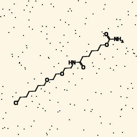 NC(=O)OCCCCCC(=O)NCCOCCOCCCCCCCl